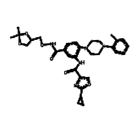 Cc1ccccc1N1CCN(c2ccc(C(=O)NOCC3COC(C)(C)O3)cc2NC(=O)c2coc(C3CC3)n2)CC1